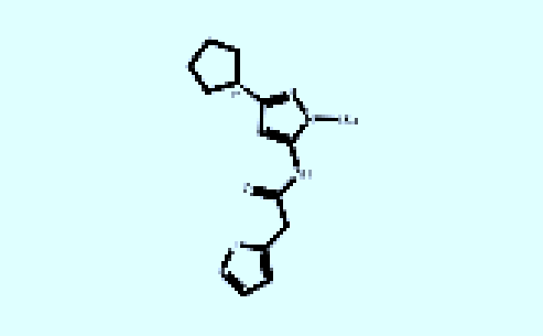 CC(C)(C)n1nc([C@H]2C[CH]CC2)cc1NC(=O)Cc1ccno1